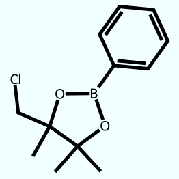 CC1(C)OB(c2ccccc2)OC1(C)CCl